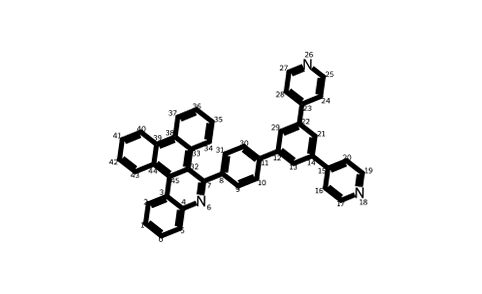 c1ccc2c(c1)nc(-c1ccc(-c3cc(-c4ccncc4)cc(-c4ccncc4)c3)cc1)c1c3ccccc3c3ccccc3c21